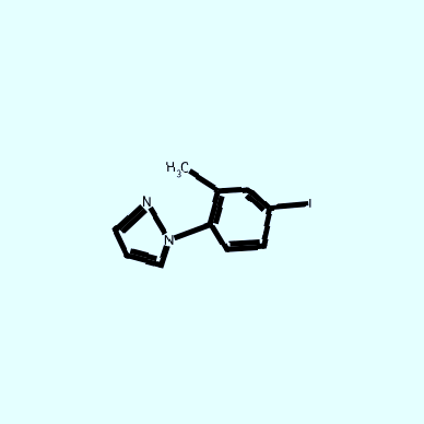 Cc1cc(I)ccc1-n1cccn1